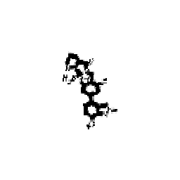 BC1(B)c2ncccc2C(=O)N1Cc1c(C)cc(-c2ccc(OC)c3nn(C)cc23)cc1F